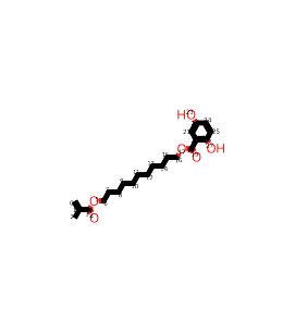 C=C(C)C(=O)OCCCCCCCCCCCOC(=O)c1cc(O)ccc1O